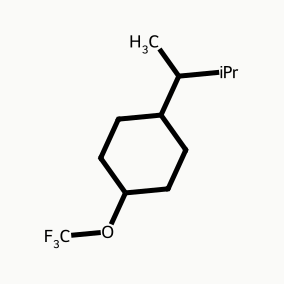 CC(C)C(C)C1CCC(OC(F)(F)F)CC1